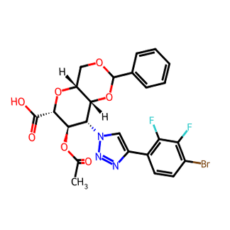 CC(=O)O[C@@H]1[C@@H](n2cc(-c3ccc(Br)c(F)c3F)nn2)[C@H]2OC(c3ccccc3)OC[C@H]2O[C@H]1C(=O)O